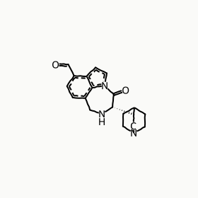 O=Cc1ccc2c3c1ccn3C(=O)[C@H](C1CN3CCC1CC3)NC2